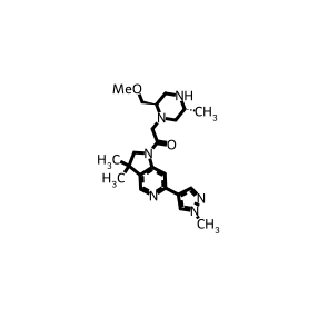 COC[C@H]1CN[C@H](C)CN1CC(=O)N1CC(C)(C)c2cnc(-c3cnn(C)c3)cc21